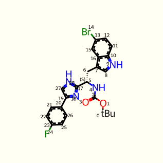 CC(C)(C)OC(=O)N[C@@H](Cc1c[nH]c2ccc(Br)cc12)c1nc(-c2ccc(F)cc2)c[nH]1